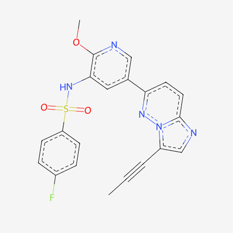 CC#Cc1cnc2ccc(-c3cnc(OC)c(NS(=O)(=O)c4ccc(F)cc4)c3)nn12